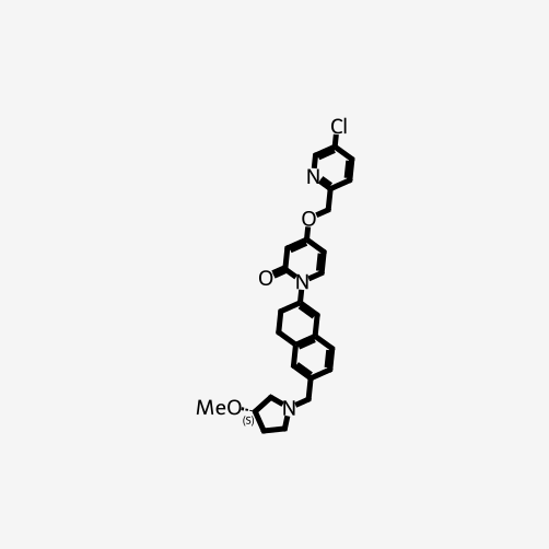 CO[C@H]1CCN(Cc2ccc3c(c2)CCC(n2ccc(OCc4ccc(Cl)cn4)cc2=O)=C3)C1